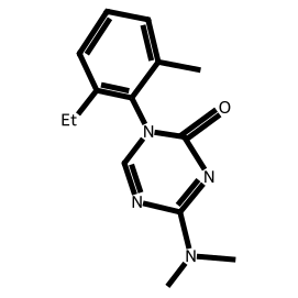 CCc1cccc(C)c1-n1cnc(N(C)C)nc1=O